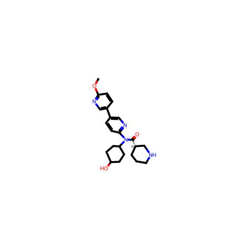 COc1ccc(-c2ccc(N(C(=O)[C@H]3CCCNC3)C3CCC(O)CC3)nc2)cn1